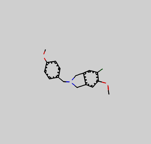 COc1ccc(CN2Cc3cc(Cl)c(OC)cc3C2)cc1